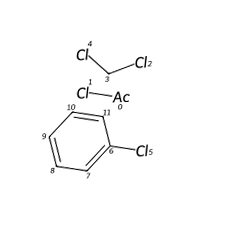 CC(=O)Cl.ClCCl.Clc1ccccc1